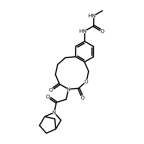 CNC(=O)Nc1ccc2c(c1)CCCC(=O)N(CC(=O)N1CC3CCC1C3)C(=O)OC2